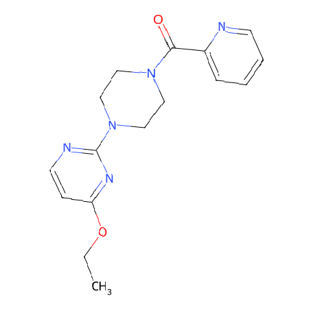 CCOc1ccnc(N2CCN(C(=O)c3ccccn3)CC2)n1